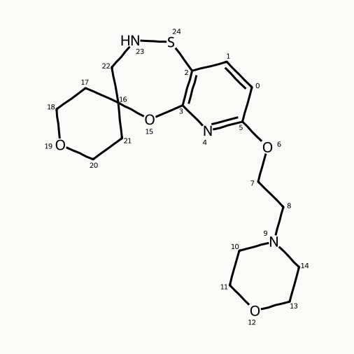 c1cc2c(nc1OCCN1CCOCC1)OC1(CCOCC1)CNS2